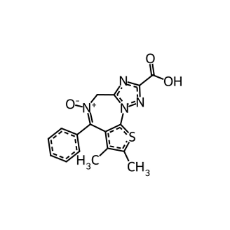 Cc1sc2c(c1C)C(c1ccccc1)=[N+]([O-])Cc1nc(C(=O)O)nn1-2